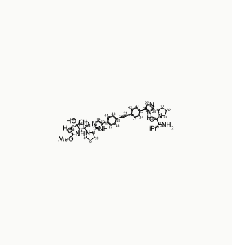 COC(=O)N[C@H](C(=O)N1CCC[C@H]1c1ncc(-c2ccc(C#Cc3ccc(-c4cnc([C@@H]5CCCN5C(=O)[C@@H](N)C(C)C)[nH]4)cc3)cc2)[nH]1)C(C)(C)O